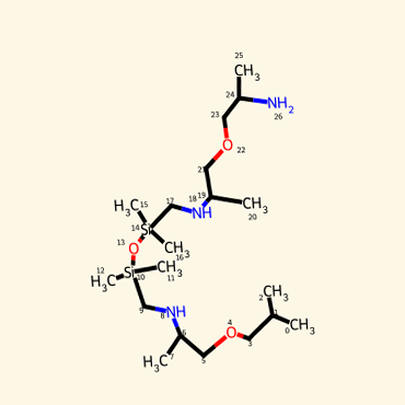 CC(C)COCC(C)NC[Si](C)(C)O[Si](C)(C)CNC(C)COCC(C)N